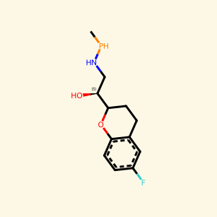 CPNC[C@H](O)C1CCc2cc(F)ccc2O1